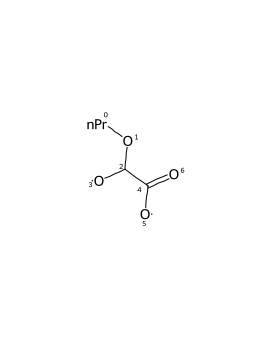 CCCOC([O])C([O])=O